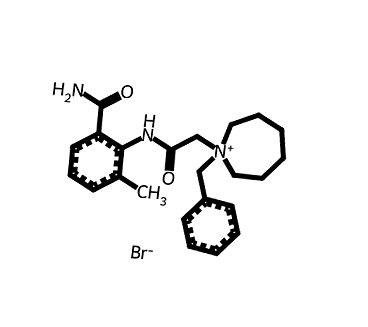 Cc1cccc(C(N)=O)c1NC(=O)C[N+]1(Cc2ccccc2)CCCCCC1.[Br-]